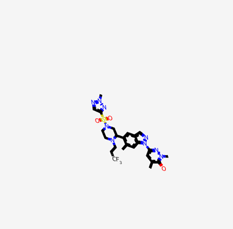 Cc1cc2c(cnn2-c2cc(C)c(=O)n(C)n2)cc1C1CN(S(=O)(=O)c2cnn(C)n2)CCN1CCC(F)(F)F